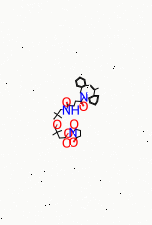 C/C1=C/c2ccccc2CN(C(=O)CCC(=O)NCC(C)(C)COCC(C)(C)CC(=O)ON2C(=O)CCC2=O)c2ccccc21